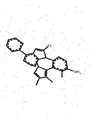 CCC1=Cc2c(-c3ccccc3)cccc2C1c1ccc([SiH3])c(C)c1C1=C(C)C(C)=CC1C